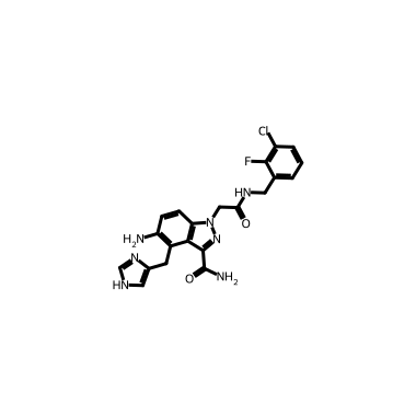 NC(=O)c1nn(CC(=O)NCc2cccc(Cl)c2F)c2ccc(N)c(Cc3c[nH]cn3)c12